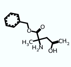 C=C(O)CC(C)(N)C(=O)OCc1ccccc1